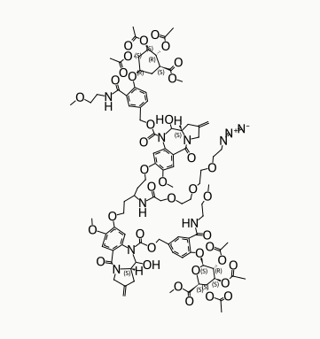 C=C1C[C@H]2C(O)N(C(=O)OCc3ccc(O[C@@H]4O[C@H](C(=O)OC)[C@@H](OC(C)=O)[C@H](OC(C)=O)[C@H]4OC(C)=O)c(C(=O)NCCOC)c3)c3cc(OCCC(CCOc4cc5c(cc4OC)C(=O)N4CC(=C)C[C@H]4C(O)N5C(=O)OCc4ccc(O[C@@H]5C[C@H](C(=O)OC)[C@@H](OC(C)=O)[C@H](OC(C)=O)[C@H]5OC(C)=O)c(C(=O)NCCOC)c4)NC(=O)COCCOCCOCCN=[N+]=[N-])c(OC)cc3C(=O)N2C1